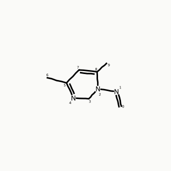 C=NN1CN=C(C)C=C1C